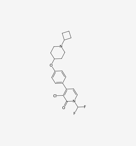 O=c1c(Cl)c(-c2ccc(OC3CCN(C4CCC4)CC3)cc2)ccn1C(F)F